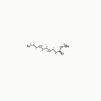 CC(=O)CCOCCOCCC(=O)OC(C)(C)C